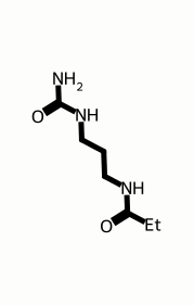 CCC(=O)NCCCNC(N)=O